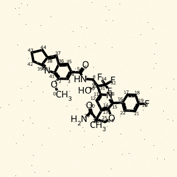 COc1cc(C(=O)NC[C@](O)(c2cc3c(c(-c4ccc(F)cc4)n2)OC[C@]3(C)C(N)=O)C(F)(F)F)cc2cc3c(nc12)CCC3